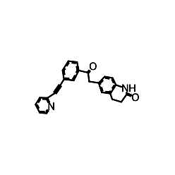 O=C1CCc2cc(CC(=O)c3cccc(C#Cc4ccccn4)c3)ccc2N1